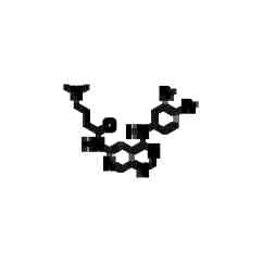 CN(C)C/C=C/C(=O)Nc1cc2c(Nc3ccc(Br)c(Br)c3)ncnc2cn1